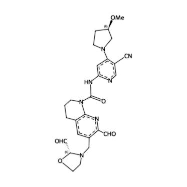 CO[C@@H]1CCN(c2cc(NC(=O)N3CCCc4cc(CN5CCO[C@@H]5C=O)c(C=O)nc43)ncc2C#N)C1